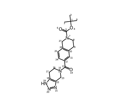 CC(C)(C)OC(=O)N1CCc2cc(C(=O)N3CCc4[nH]nnc4C3)ccc2C1